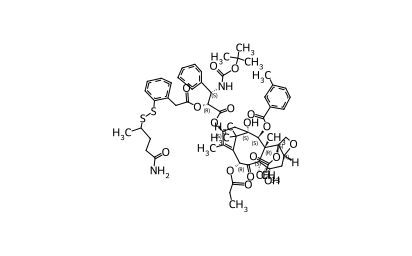 CCC(=O)O[C@H]1C(=O)[C@]2(C)[C@@H](O)C[C@H]3OC[C@@]3(OC(C)=O)[C@@]2(C)[C@H](OC(=O)c2cccc(C)c2)[C@]2(O)C[C@H](OC(=O)[C@H](OC(=O)Cc3ccccc3SSC(C)CCC(N)=O)[C@@H](NC(=O)OC(C)(C)C)c3ccccc3)C(C)=C1C2(C)C